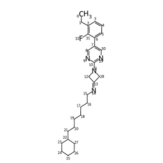 CCc1cccc(-c2cnc(N3CC(=NCCCCCCCC4CCCCC4)C3)nc2)c1F